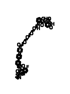 CN(C(=O)c1c(C=O)cccc1NCCOCCOCCOCCOCCC(=O)N1CCN(c2ccc(-c3ccc4c(c3)C(=O)N(C(C(=O)Nc3nccs3)c3cc(F)ccc3O)C4)cc2)CC1)C1CCC(=O)NC1=O